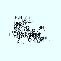 C[C@@H](O)[C@H](NC(=O)[C@H](CCCCN)NC(=O)[C@@H](Cc1c[nH]c2ccccc12)NC(=O)[C@H](Cc1ccccc1)NC(=O)[C@H](Cc1ccccc1)NC(=O)[C@H](CC(N)=O)NC(=O)[C@H](CCCCN)NC(=O)[C@H](CS)NC(=O)CN)C(=O)N[C@@H](Cc1ccccc1)C(=O)N[C@H](C(=O)N[C@@H](CO)C(=O)N(CCN)[C@@H](CS)C(=O)O)[C@@H](C)O